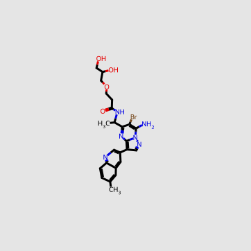 Cc1ccc2ncc(-c3cnn4c(N)c(Br)c(C(C)NC(=O)CCOCC(O)CO)nc34)cc2c1